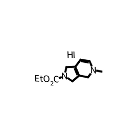 CCOC(=O)N1CC2=C(CN(C)C=C2)C1.I